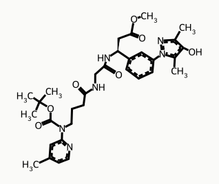 COC(=O)C[C@H](NC(=O)CNC(=O)CCCN(C(=O)OC(C)(C)C)c1cc(C)ccn1)c1cccc(-n2nc(C)c(O)c2C)c1